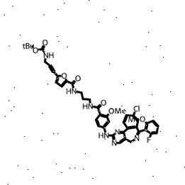 COc1cc(Nc2ncc3c(n2)-c2ccc(Cl)cc2C(c2c(F)cccc2OC)=NC3)ccc1C(=O)NCCCNC(=O)c1ccc(C#CCNC(=O)OC(C)(C)C)o1